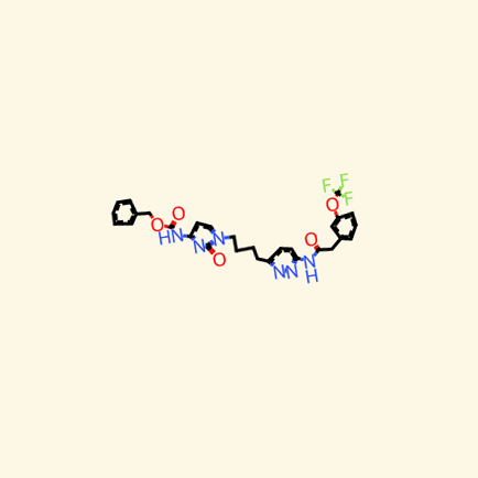 O=C(Cc1cccc(OC(F)(F)F)c1)Nc1ccc(CCCCn2ccc(NC(=O)OCc3ccccc3)nc2=O)nn1